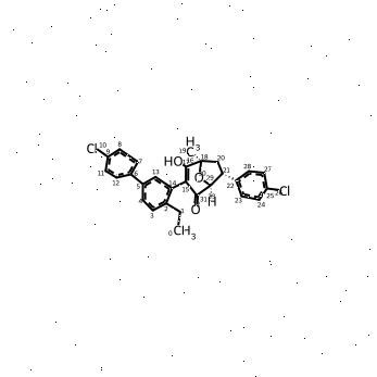 CCc1ccc(-c2ccc(Cl)cc2)cc1C1=C(O)[C@@]2(C)C[C@H](c3ccc(Cl)cc3)[C@H](O2)C1=O